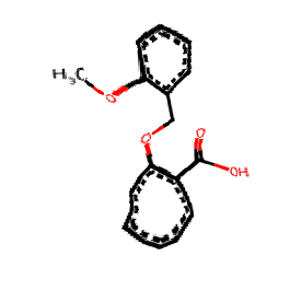 COc1ccccc1COc1ccccc1C(=O)O